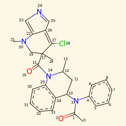 CC(=O)N(c1ccccc1)C1CC(C)N(C(=O)C2(C)CN(C)C3=CN=CC3=C2Cl)c2ccccc21